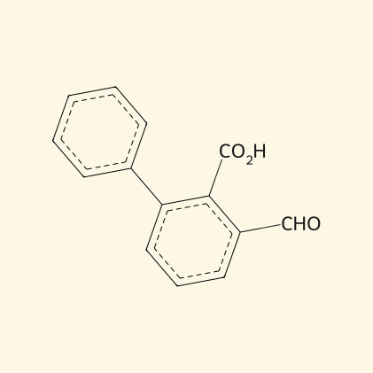 O=Cc1cccc(-c2ccccc2)c1C(=O)O